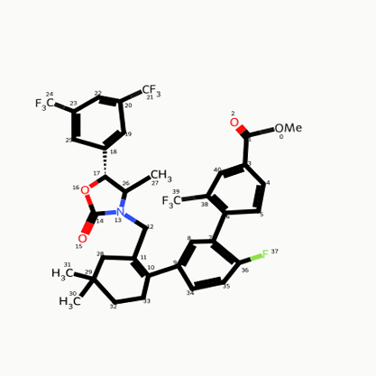 COC(=O)c1ccc(-c2cc(C3=C(CN4C(=O)O[C@H](c5cc(C(F)(F)F)cc(C(F)(F)F)c5)C4C)CC(C)(C)CC3)ccc2F)c(C(F)(F)F)c1